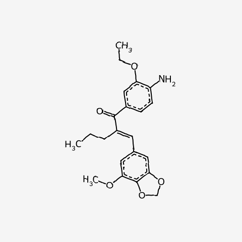 CCC/C(=C\c1cc(OC)c2c(c1)OCO2)C(=O)c1ccc(N)c(OCC)c1